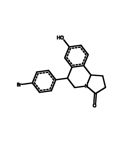 O=C1CCC2c3ccc(O)cc3C(c3ccc(Br)cc3)CN12